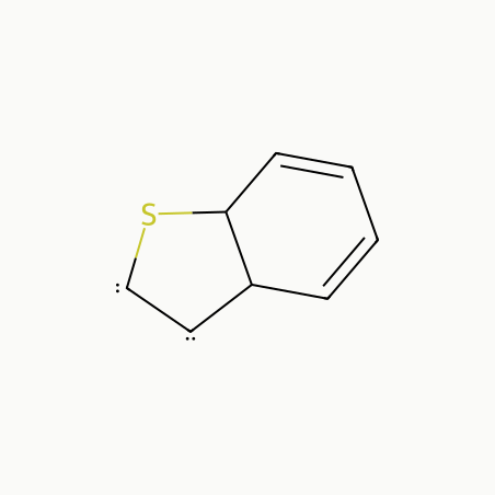 [C]1[C]C2C=CC=CC2S1